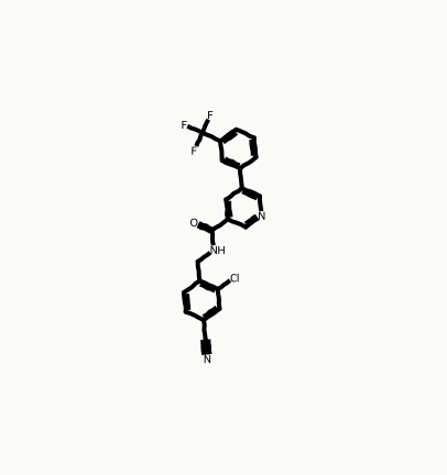 N#Cc1ccc(CNC(=O)c2cncc(-c3cccc(C(F)(F)F)c3)c2)c(Cl)c1